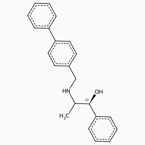 CC(NCc1ccc(-c2ccccc2)cc1)[C@@H](O)c1ccccc1